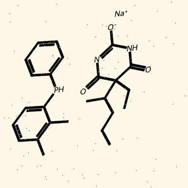 CCCC(C)C1(CC)C(=O)N=C([O-])NC1=O.Cc1cccc(Pc2ccccc2)c1C.[Na+]